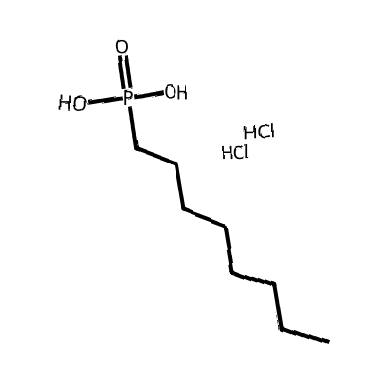 CCCCCCCCP(=O)(O)O.Cl.Cl